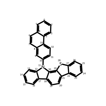 c1ccc2c(c1)ccc1cc(-n3c4ccccc4c4ccc5c6ccccc6sc5c43)ccc12